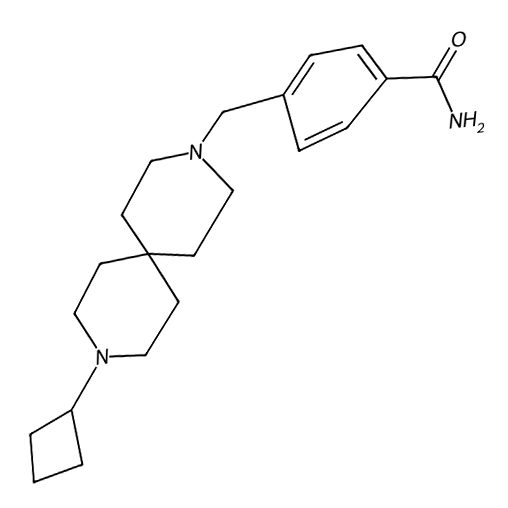 NC(=O)c1ccc(CN2CCC3(CC2)CCN(C2CCC2)CC3)cc1